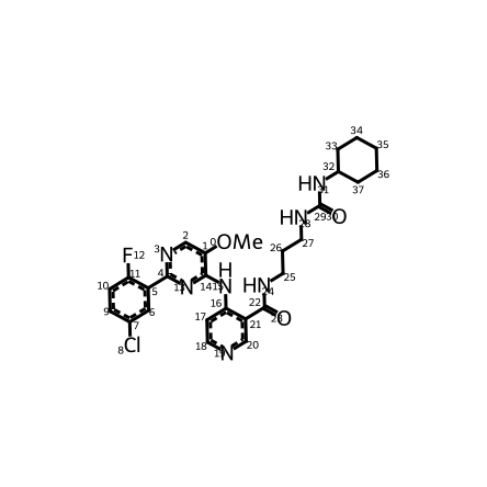 COc1cnc(-c2cc(Cl)ccc2F)nc1Nc1ccncc1C(=O)NCCCNC(=O)NC1CCCCC1